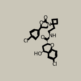 O=C(NCCC1(N2CC(c3ccc(Cl)cc3)OC2=O)CCC1)[C@H]1C[C@@H](O)c2cc(Cl)ccc2O1